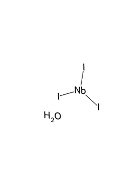 O.[I][Nb]([I])[I]